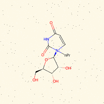 CCC[N+]1([C@@H]2O[C@H](CO)[C@@H](O)[C@H]2O)C=CC(=O)NC1=O